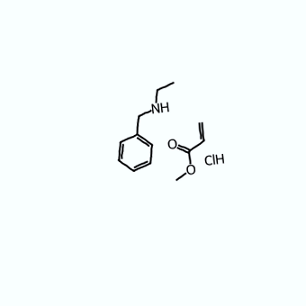 C=CC(=O)OC.CCNCc1ccccc1.Cl